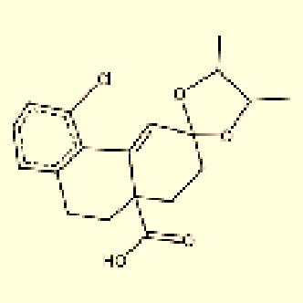 CC1OC2(C=C3c4c(Cl)cccc4CCC3(C(=O)O)CC2)OC1C